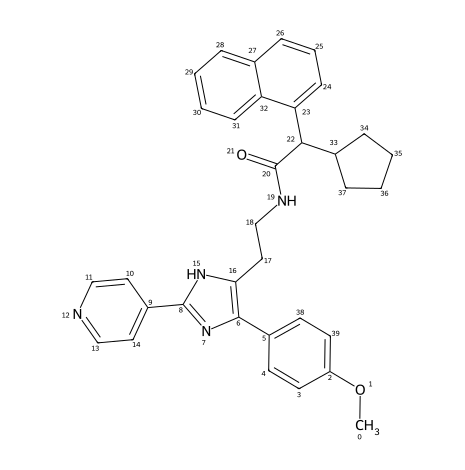 COc1ccc(-c2nc(-c3ccncc3)[nH]c2CCNC(=O)C(c2cccc3ccccc23)C2CCCC2)cc1